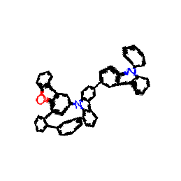 c1ccc(-c2ccccc2-c2cc(-n3c4ccccc4c4cc(-c5ccc6c(c5)c5ccccc5n6-c5ccccc5)ccc43)cc3c2oc2ccccc23)cc1